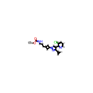 CC(C)(C)OC(=O)NCCCC1CC(n2cc(-c3ncccc3Cl)c(C3CC3)n2)C1